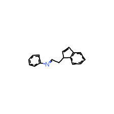 C1=CC(CC=Nc2ccccc2)c2ccccc21